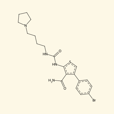 NC(=O)c1c(-c2ccc(Br)cc2)csc1NC(=O)NCCCCN1CCCC1